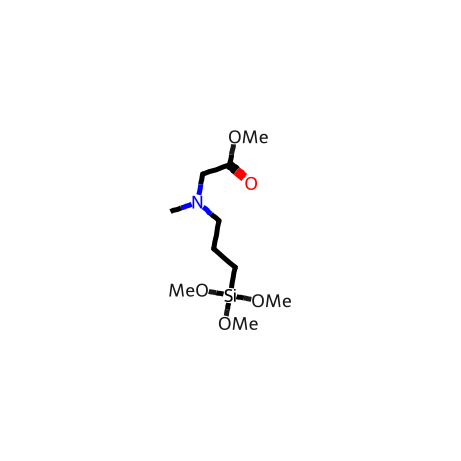 COC(=O)CN(C)CCC[Si](OC)(OC)OC